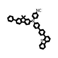 [C-]#[N+]c1ccc(N(c2ccc(-c3ccc(-c4cccc5c4sc4ccccc45)cc3)cc2)c2ccc3c(c2)C(C)(C)c2cc(-c4ccccc4)ccc2-3)cc1